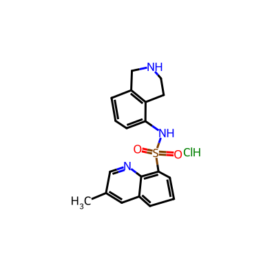 Cc1cnc2c(S(=O)(=O)Nc3cccc4c3CCNC4)cccc2c1.Cl